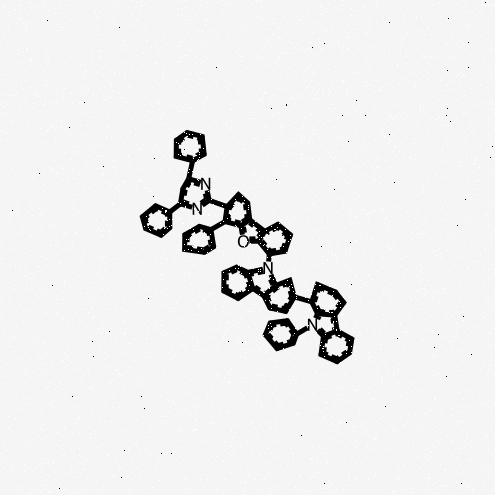 c1ccc(-c2cc(-c3ccccc3)nc(-c3ccc4c(oc5c(-n6c7ccccc7c7ccc(-c8cccc9c%10ccccc%10n(-c%10ccccc%10)c89)cc76)cccc54)c3-c3ccccc3)n2)cc1